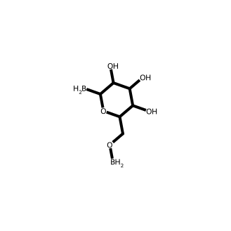 BOCC1OC(B)C(O)C(O)C1O